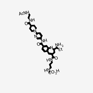 CCC(N)C1=Nc2cc(C(=O)Nc3ccc(N4CCC(C(=O)NCCNC(C)=O)CC4)nc3)ccc2C=C(C(=O)NCCCNC(=O)O)C1